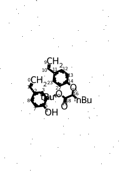 C=Cc1ccc(O)cc1.C=Cc1ccc(OC(CCCC)C(=O)OC(C)(C)C)cc1